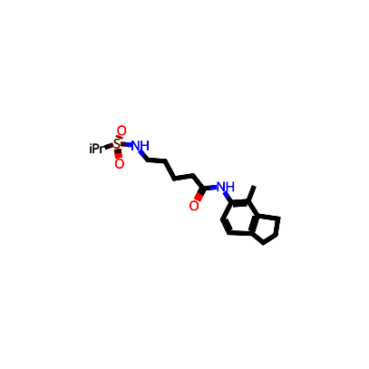 Cc1c(NC(=O)CCCCNS(=O)(=O)C(C)C)ccc2c1CCC2